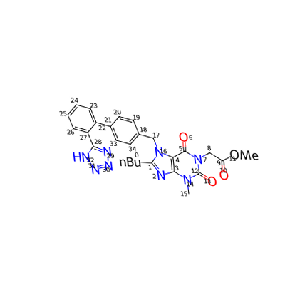 CCCCc1nc2c(c(=O)n(CC(=O)OC)c(=O)n2C)n1Cc1ccc(-c2ccccc2-c2nnn[nH]2)cc1